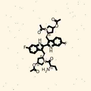 CC[C@H](N)C(=O)N1C[C@@H](OC(C)=O)C[C@H]1Cc1c(-c2[nH]c3cc(F)ccc3c2C[C@@H]2CC(OC(C)=O)CN2C(C)=O)[nH]c2cc(F)ccc12